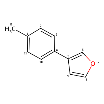 Cc1ccc(-c2[c]occ2)cc1